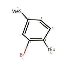 CSc1ccc(C(C)(C)C)c(Br)c1